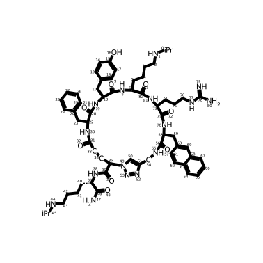 CC(C)NCCCCC1NC(=O)C(Cc2ccc(O)cc2)NC(=O)C(Cc2ccccc2)NC(=O)CCC(C(=O)N[C@@H](CCCCNC(C)C)C(N)=O)n2cc(nn2)CNC(=O)C(Cc2ccc3ccccc3c2)NC(=O)C(CCCNC(=N)N)NC1=O